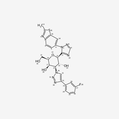 Cc1nc2ccc(-n3ncnc3[C@@H]3O[C@H](CO)[C@H](O)[C@H](n4cc(-c5cccc(F)c5)nn4)[C@H]3O)cc2s1